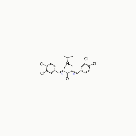 CC(C)N1C/C(=C\c2ccc(Cl)c(Cl)c2)C(=O)/C(=C/c2ccc(Cl)c(Cl)c2)C1